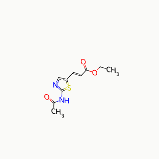 CCOC(=O)C=Cc1cnc(NC(C)=O)s1